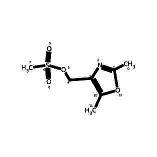 Cc1nc(COS(C)(=O)=O)c(C)o1